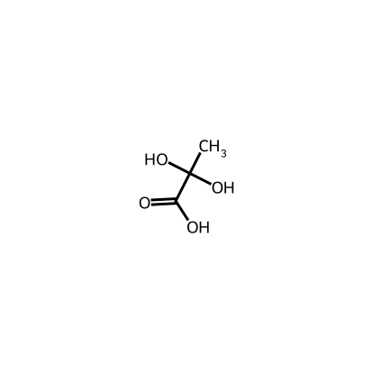 CC(O)(O)C(=O)O